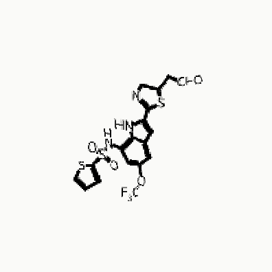 O=CCC1CN=C(c2cc3cc(OC(F)(F)F)cc(NS(=O)(=O)c4cccs4)c3[nH]2)S1